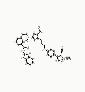 N#Cc1c(-c2ccc(OCCCc3sc(N4CCc5cccc(C(=O)Nc6nc7ccccc7s6)c5C4)nc3C=O)cc2)n[nH]c1N